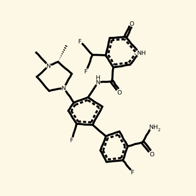 C[C@@H]1CN(c2cc(F)c(-c3ccc(F)c(C(N)=O)c3)cc2NC(=O)c2c[nH]c(=O)cc2C(F)F)CCN1C